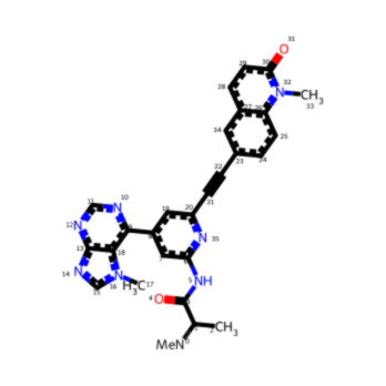 CNC(C)C(=O)Nc1cc(-c2ncnc3ncn(C)c23)cc(C#Cc2ccc3c(ccc(=O)n3C)c2)n1